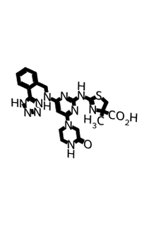 CC1(C(=O)O)CSC(Nc2nc(NCc3ccccc3-c3nnn[nH]3)cc(N3CCNC(=O)C3)n2)=N1